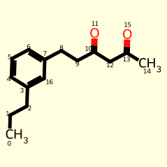 CCCc1cccc(CCC(=O)CC(C)=O)c1